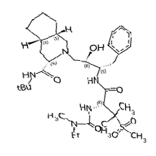 CCN(C)C(=O)N[C@H](C(=O)N[C@@H](Cc1ccccc1)[C@H](O)CN1C[C@H]2CCCC[C@H]2C[C@H]1C(=O)NC(C)(C)C)C(C)(C)S(C)(=O)=O